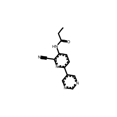 CCC(=O)Nc1ccc(-c2cncnc2)nc1C#N